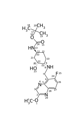 COc1cnc2c(CN[C@H]3CC[C@H](NC(=O)OC(C)(C)C)C[C@H]3O)c(F)ccc2n1